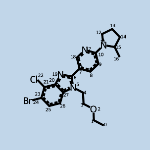 CCOCCn1c(-c2ccc(N3CCCC3C)nc2)nc2c(Cl)c(Br)ccc21